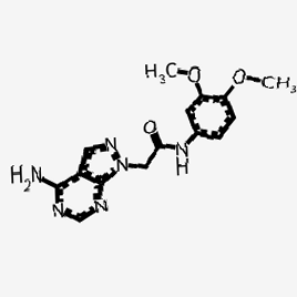 COc1ccc(NC(=O)Cn2ncc3c(N)ncnc32)cc1OC